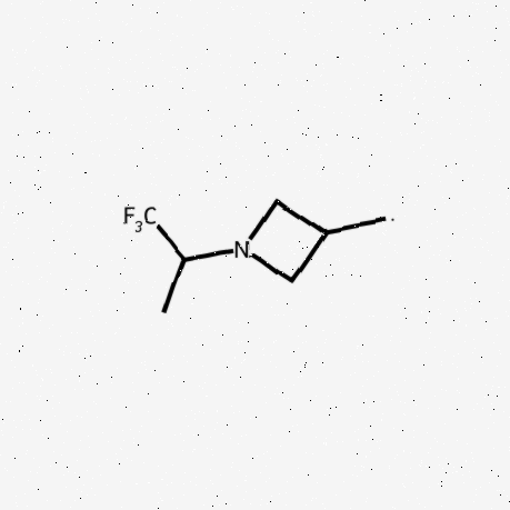 [CH2]C1CN(C(C)C(F)(F)F)C1